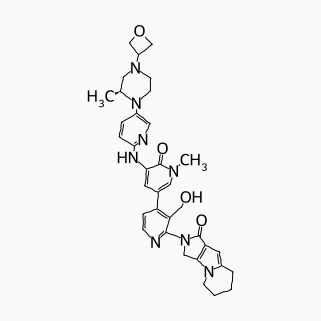 C[C@H]1CN(C2COC2)CCN1c1ccc(Nc2cc(-c3ccnc(N4Cc5c(cc6n5CCCC6)C4=O)c3CO)cn(C)c2=O)nc1